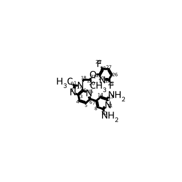 Cc1nc2ccc(-c3cc(N)nc(N)c3)nc2n1C[C@H](C)Oc1nc(F)ccc1F